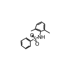 Cc1cccc(C)c1NS(=O)(=O)c1ccccc1